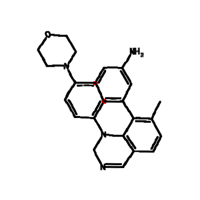 Cc1ccc2c(c1-c1cccc(N)c1)N(c1ccc(N3CCOCC3)cc1)CN=C2